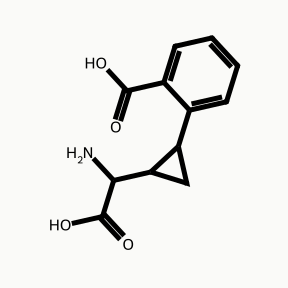 NC(C(=O)O)C1CC1c1ccccc1C(=O)O